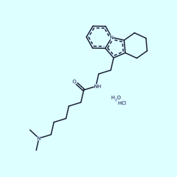 CN(C)CCCCCC(=O)NCCc1c2c(n3ccccc13)CCCC2.Cl.O